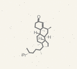 CC(C)[C@H](C)CC[C@@H](C)[C@H]1CC[C@H]2[C@@H]3C[C@H](C)C4=CC(=O)CC[C@]4(C)[C@H]3CC[C@]12C